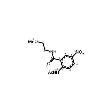 COCCNC(=O)c1cc([N+](=O)[O-])ccc1NC(C)=O